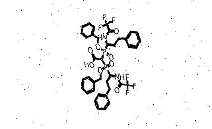 O=C(O)C(P(=O)(OCc1ccccc1)C(CCc1ccccc1)NC(=O)C(F)(F)F)P(=O)(OCc1ccccc1)C(CCc1ccccc1)NC(=O)C(F)(F)F